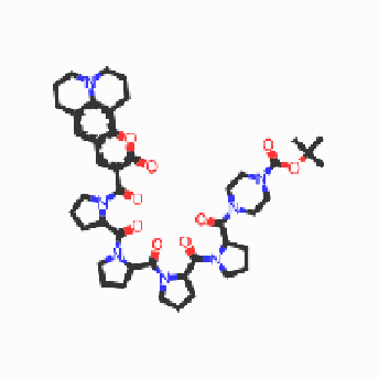 CC(C)(C)OC(=O)N1CCN(C(=O)C2CCCN2C(=O)C2CCCN2C(=O)C2CCCN2C(=O)C2CCCN2C(=O)c2cc3cc4c5c(c3oc2=O)CCCN5CCC4)CC1